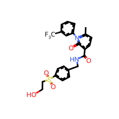 Cc1ccc(C(=O)NCc2ccc(S(=O)(=O)CCO)cc2)c(=O)n1-c1cccc(C(F)(F)F)c1